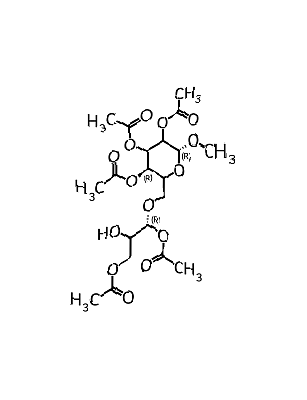 CO[C@@H]1OC(CO[C@H](OC(C)=O)C(O)COC(C)=O)[C@@H](OC(C)=O)C(OC(C)=O)C1OC(C)=O